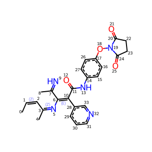 C\C=C/C(C)=N\C(C(C)=N)=C(\C(=O)Nc1ccc(ON2C(=O)CCC2=O)cc1)c1cccnc1